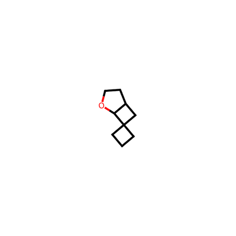 C1CC2(C1)CC1CCOC12